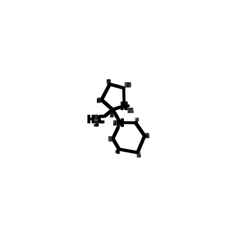 CC1(N2CCCCC2)CCC[N]1